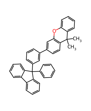 CC1(C)c2ccccc2Oc2cc(-c3cccc(C4(c5ccccc5)c5ccccc5-c5ccccc54)c3)ccc21